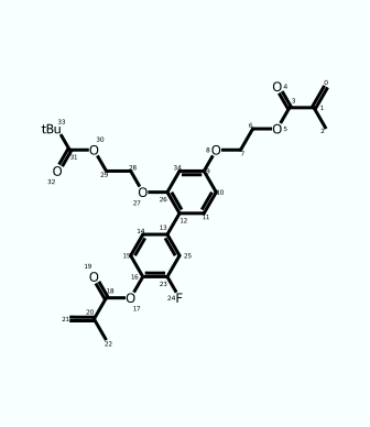 C=C(C)C(=O)OCCOc1ccc(-c2ccc(OC(=O)C(=C)C)c(F)c2)c(OCCOC(=O)C(C)(C)C)c1